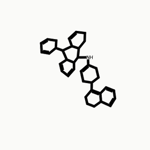 C1=CCC(C2C3C=CC=CC3C(NC3=CCC(C4=C5C=CC=CC5CCC4)CC3)C3CCC=CC32)C=C1